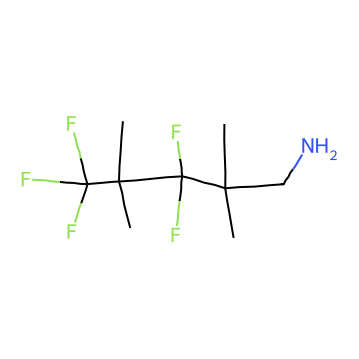 CC(C)(CN)C(F)(F)C(C)(C)C(F)(F)F